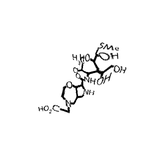 CSC(O)C(O)C(C(O)CO)C(NC(=O)C1NCC2CN(CC(=O)O)CCOC21)C(C)Cl